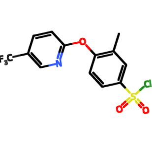 Cc1cc(S(=O)(=O)Cl)ccc1Oc1ccc(C(F)(F)F)cn1